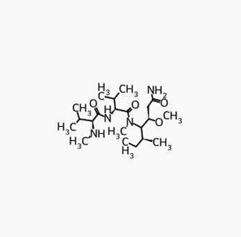 CC[C@H](C)C([C@@H](CC(N)=O)OC)N(C)C(=O)[C@@H](NC(=O)[C@@H](NC)C(C)C)C(C)C